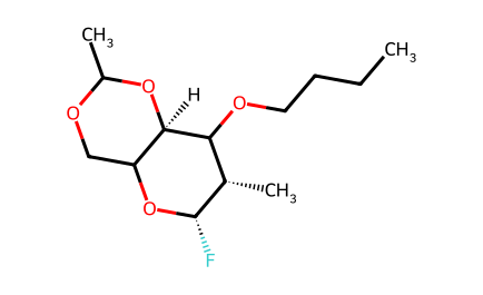 CCCCOC1[C@@H]2OC(C)OCC2O[C@@H](F)[C@H]1C